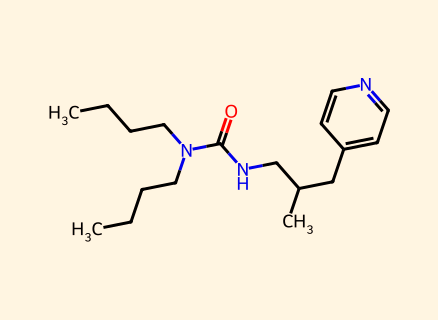 CCCCN(CCCC)C(=O)NCC(C)Cc1ccncc1